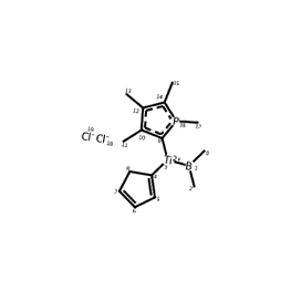 C[B](C)[Ti+2]([C]1=CC=CC1)[c]1c(C)c(C)c(C)p1C.[Cl-].[Cl-]